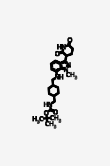 Cn1nc(C2CCC(=O)NC2=O)c2cccc(NCC3CCC(CNC(=O)OC(C)(C)C)CC3)c21